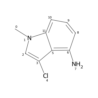 Cn1cc(Cl)c2c(N)cccc21